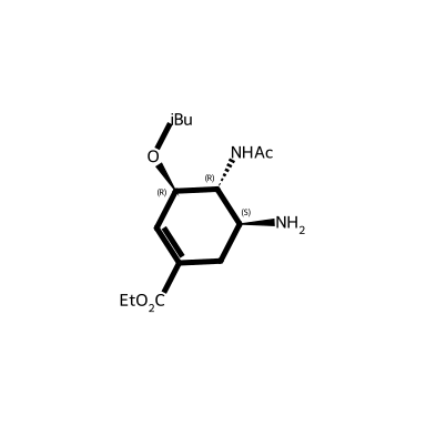 CCOC(=O)C1=C[C@@H](OC(C)CC)[C@H](NC(C)=O)[C@@H](N)C1